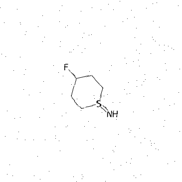 N=S1CCC(F)CC1